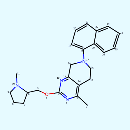 Cc1nc(OCC2CCCN2C)nc2c1CCN(c1cccc3ccccc13)C2